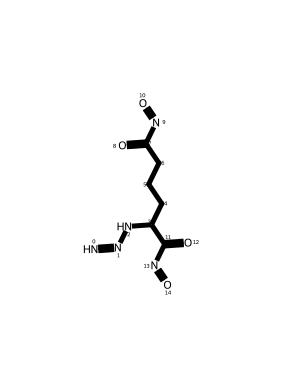 N=NNC(CCCC(=O)N=O)C(=O)N=O